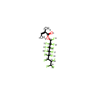 CC=C(C)C(=O)OC(F)C(F)(F)C(F)(F)C(F)(F)C(F)(F)C(F)C(F)C(F)F